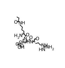 CCC(=O)NCCCC[C@@H](N)C(=O)N1CCC[C@H]1C(=O)N[C@H](C=O)CCCNC(=N)N.O=S(=O)(O)O